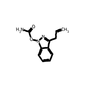 C=CCc1nn(OC(N)=O)c2ccccc12